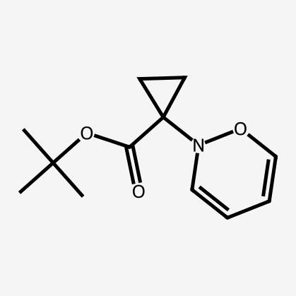 CC(C)(C)OC(=O)C1(N2C=CC=CO2)CC1